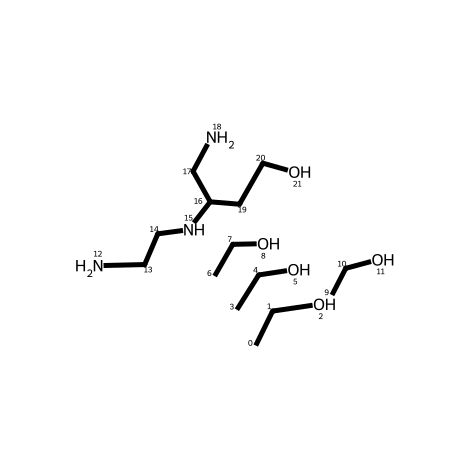 CCO.CCO.CCO.CCO.NCCNC(CN)CCO